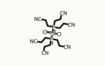 N#CCC[PH](CCC#N)(CCC#N)[Pd]([Cl])([Cl])[PH](CCC#N)(CCC#N)CCC#N